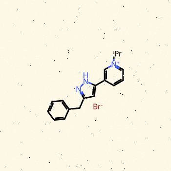 CC(C)[n+]1cccc(-c2cc(Cc3ccccc3)n[nH]2)c1.[Br-]